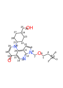 C[Si](C)(C)CCOCn1ccc2c1ncc1c(=O)ccn(C3CCC(CO)CC3)c12